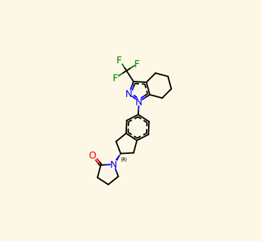 O=C1CCCN1[C@@H]1Cc2ccc(-n3nc(C(F)(F)F)c4c3CCCC4)cc2C1